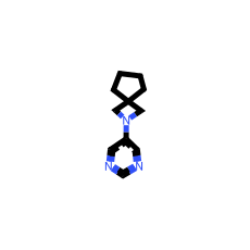 c1ncc(N2CC3(CCCC3)C2)cn1